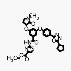 CCOC(=O)c1csc(NC(=O)c2cc(Oc3ccc(-c4nnc(C5CCCC5)o4)cc3)cc(OC3CCN(C)C3=O)c2)n1